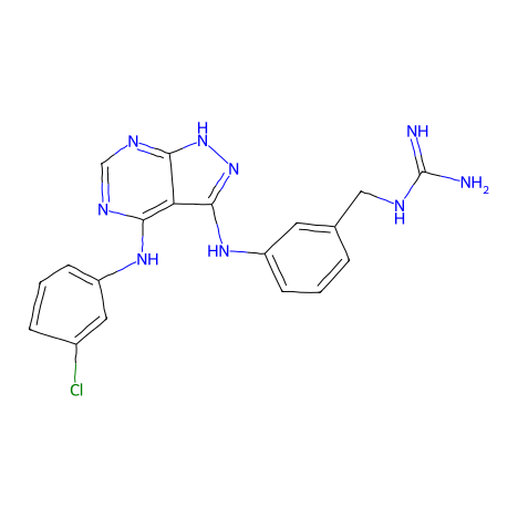 N=C(N)NCc1cccc(Nc2n[nH]c3ncnc(Nc4cccc(Cl)c4)c23)c1